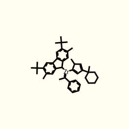 C[C](c1ccccc1)=[Zr]([C]1=CC(C2(C)CCCCC2)=CC1C)[CH]1c2cc(C)c(C(C)(C)C)cc2-c2cc(C(C)(C)C)c(C)cc21